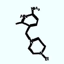 CCN1CCN(CC2=CC=C(N)NC2C)CC1